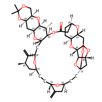 C=C1C[C@@H]2CC[C@@]34C[C@H]5OC6C(O3)[C@H]3O[C@H](CC[C@@H]3O[C@H]6C5O4)CC(=O)O[C@@H]3[C@@H](C)[C@@H]4O[C@@H]5COC(C)(C)O[C@@H]5C[C@@H]4O[C@H]3C[C@H]3O[C@@H](CC[C@@H]1O2)C[C@@H](C)C3=C